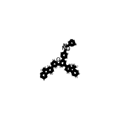 CC1(C)c2ccccc2-c2ccc(-c3ccc4oc5c(-c6ccc(-c7nnc(-c8ccccc8)o7)cc6)cc(-c6ccc7c(c6)C(C)(C)c6ccccc6-7)cc5c4c3)cc21